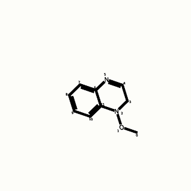 CON1CC=Nc2ccccc21